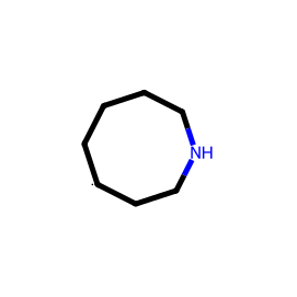 [CH]1CCCCNCC1